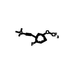 C[Si](C)(C)C#Cc1cc(OC(F)(F)F)ccc1F